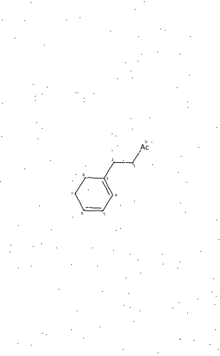 CC(=O)CCC1=CC=CCC1